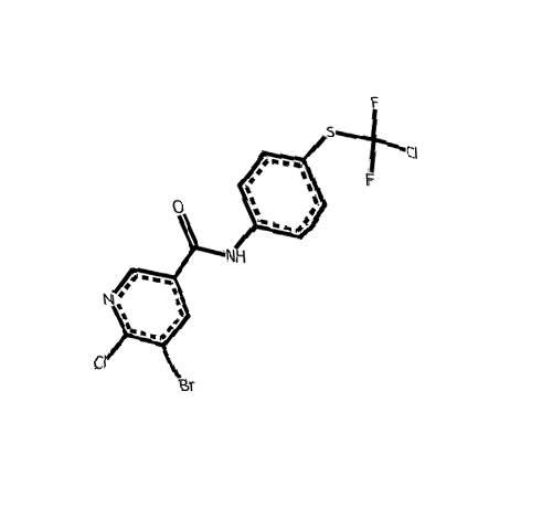 O=C(Nc1ccc(SC(F)(F)Cl)cc1)c1cnc(Cl)c(Br)c1